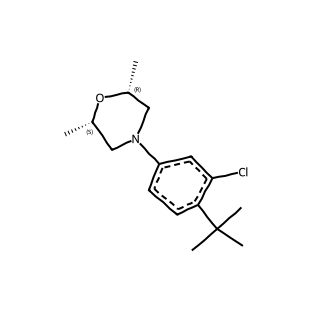 C[C@@H]1CN(c2ccc(C(C)(C)C)c(Cl)c2)C[C@H](C)O1